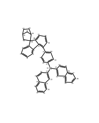 c1ccc2c(c1)-c1c(-c3ccc(N(c4ccc5ccccc5c4)c4ccc5ccccc5c4)cc3)cccc1C21CC2CCC1C2